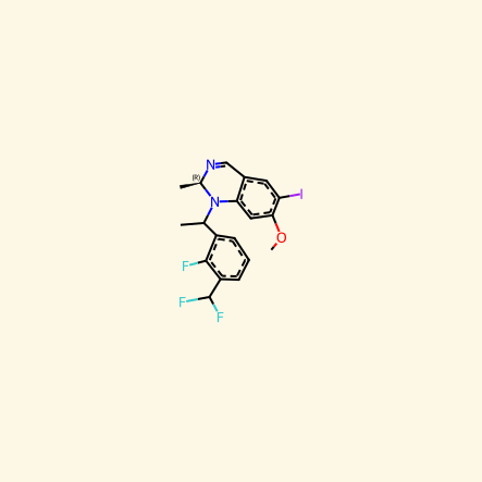 COc1cc2c(cc1I)C=N[C@H](C)N2C(C)c1cccc(C(F)F)c1F